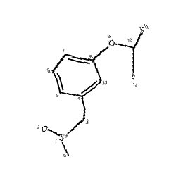 C[S+]([O-])Cc1cccc(OC(F)F)c1